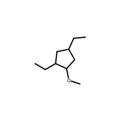 CCC1CC(CC)C(OC)C1